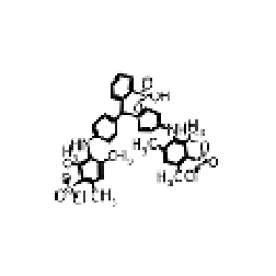 Cc1cc(C)c(S(=O)(=O)Cl)c(C)c1Nc1ccc(C(c2ccc(Nc3c(C)cc(C)c(S(=O)(=O)Cl)c3C)cc2)c2ccccc2S(=O)(=O)O)cc1